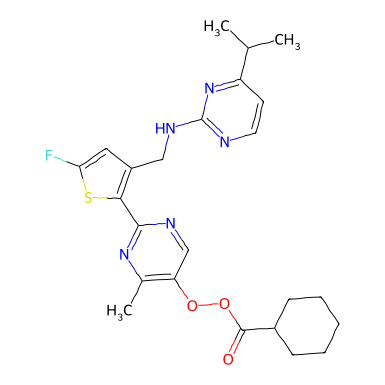 Cc1nc(-c2sc(F)cc2CNc2nccc(C(C)C)n2)ncc1OOC(=O)C1CCCCC1